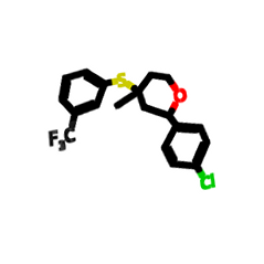 CC1(Sc2cccc(C(F)(F)F)c2)CCOC(c2ccc(Cl)cc2)C1